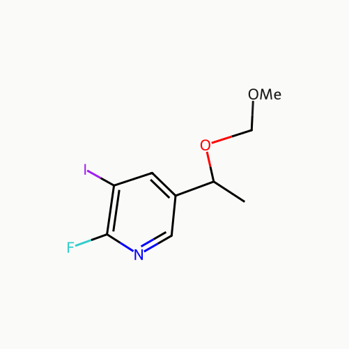 COCOC(C)c1cnc(F)c(I)c1